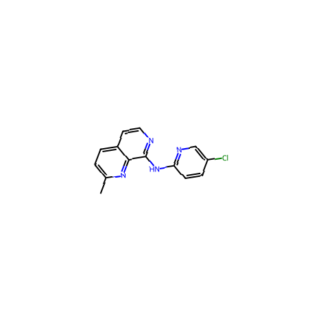 Cc1ccc2ccnc(Nc3ccc(Cl)cn3)c2n1